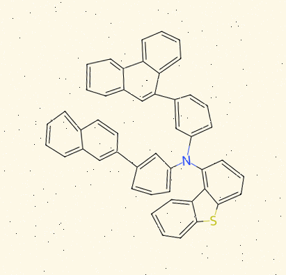 c1cc(-c2ccc3ccccc3c2)cc(N(c2cccc(-c3cc4ccccc4c4ccccc34)c2)c2cccc3sc4ccccc4c23)c1